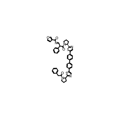 O=C(/N=C/C(C(=O)N1CCC[C@H]1c1ncc(-c2ccc(-c3ccc(-c4cnc(C5CCCN5C(=O)Cc5ccccc5)s4)cc3)cc2)s1)c1ccccc1)c1ccoc1